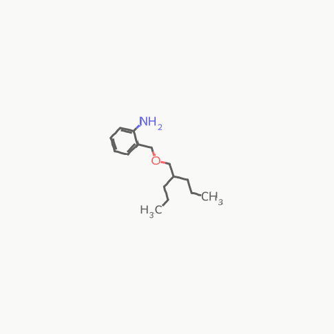 CCCC(CCC)COCc1ccccc1N